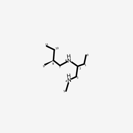 CCC(CNC)NC[C@@H](C)CC